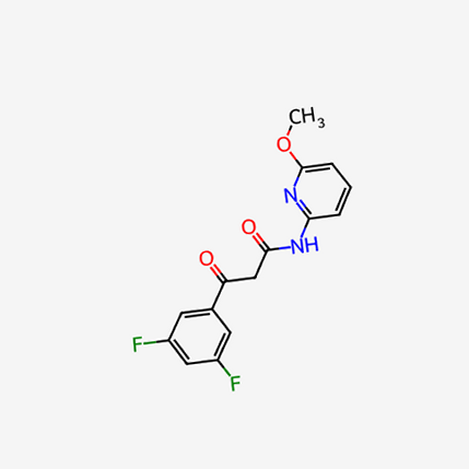 COc1cccc(NC(=O)CC(=O)c2cc(F)cc(F)c2)n1